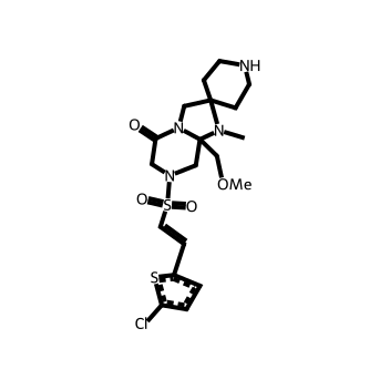 COCC12CN(S(=O)(=O)C=Cc3ccc(Cl)s3)CC(=O)N1CC1(CCNCC1)N2C